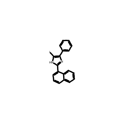 Ic1[nH]c(-c2cccc3ccccc23)nc1-c1ccccc1